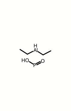 C[CH2][AlH][CH2]C.O=PO